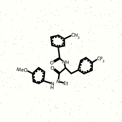 CCN(Nc1ccc(OC)cc1)C(=O)C(Cc1ccc(C(F)(F)F)cc1)NC(=O)c1cccc(C)c1